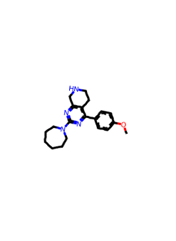 COc1ccc(-c2nc(N3CCCCCC3)nc3c2CCNC3)cc1